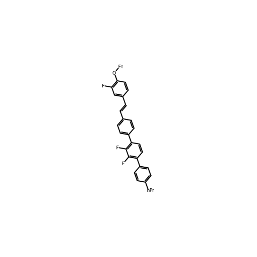 CCCc1ccc(-c2ccc(-c3ccc(/C=C/c4ccc(OCC)c(F)c4)cc3)c(F)c2F)cc1